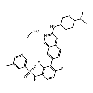 Cc1cncc(S(=O)(=O)Nc2ccc(F)c(-c3ccc4nc(NC5CCC(N(C)C)CC5)ncc4c3)c2F)c1.O=CO